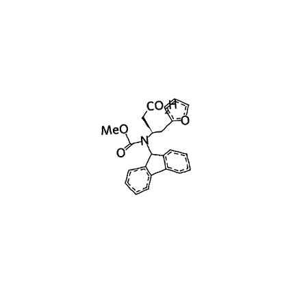 COC(=O)N(C1c2ccccc2-c2ccccc21)[C@@H](CC(=O)O)Cc1ccco1